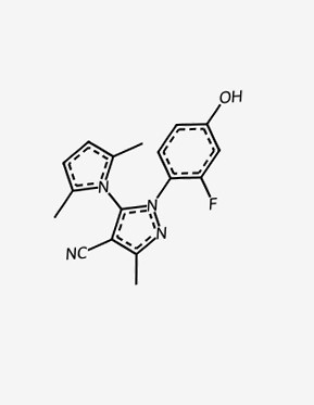 Cc1nn(-c2ccc(O)cc2F)c(-n2c(C)ccc2C)c1C#N